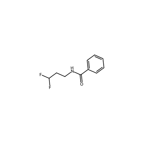 O=C(NCCC(F)F)c1ccccc1